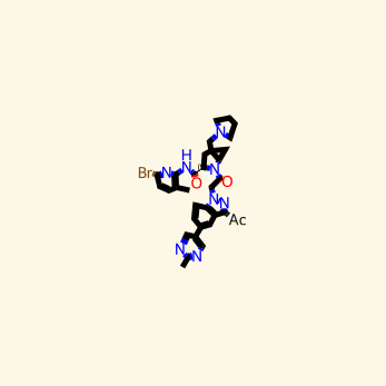 CC(=O)c1nn(CC(=O)N2C3CC3(CN3CCCC3)C[C@H]2C(=O)Nc2nc(Br)ccc2C)c2ccc(-c3cnc(C)nc3)cc12